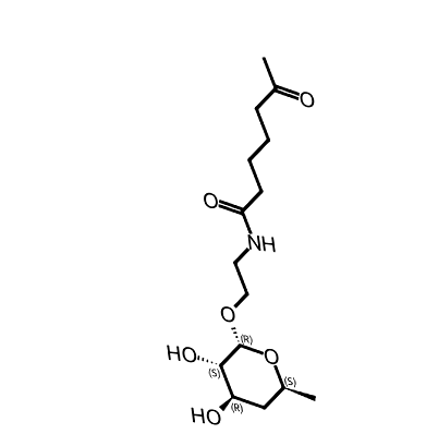 CC(=O)CCCCC(=O)NCCO[C@@H]1O[C@@H](C)C[C@@H](O)[C@@H]1O